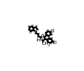 CC(NC(=O)CCCN1CCc2ccccc21)C(Cc1ccc(Cl)cc1)c1ccc(Cl)cc1